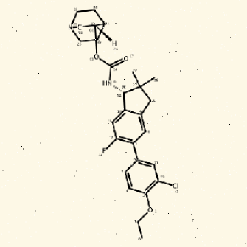 CCOc1ccc(-c2cc3c(cc2F)[C@H](NC(=O)O[C@@H]2CN4CCC2CC4)C(C)(C)C3)cc1Cl